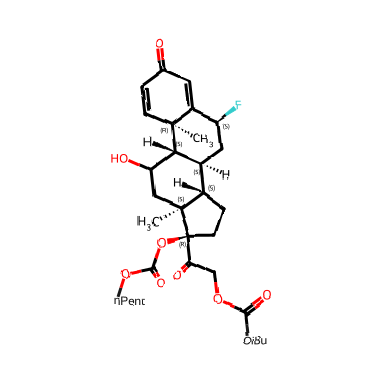 CCCCCOC(=O)O[C@]1(C(=O)COC(=O)OCC(C)C)CC[C@H]2[C@@H]3C[C@H](F)C4=CC(=O)C=C[C@]4(C)[C@H]3C(O)C[C@@]21C